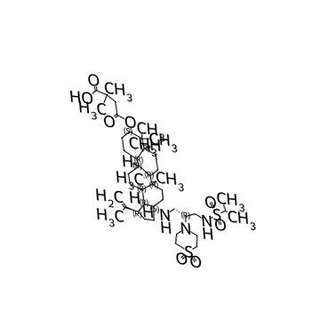 C=C(C)[C@@H]1CC[C@]2(NC[C@H](CNS(=O)(=O)C(C)C)N3CCS(=O)(=O)CC3)CC[C@]3(C)[C@H](CC[C@@H]4[C@@]5(C)CC[C@H](OC(=O)CC(C)(C)C(=O)O)C(C)(C)[C@@H]5CC[C@]43C)[C@@H]12